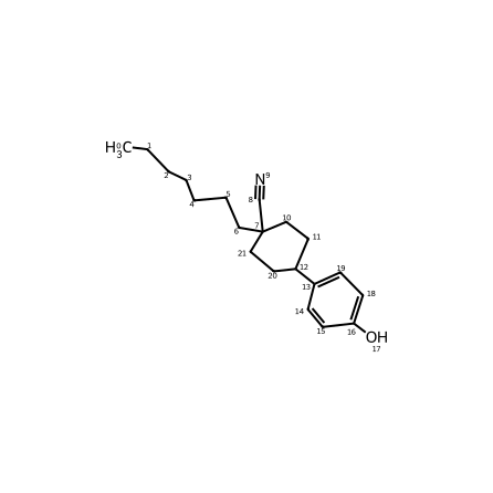 CCCCCCCC1(C#N)CCC(c2ccc(O)cc2)CC1